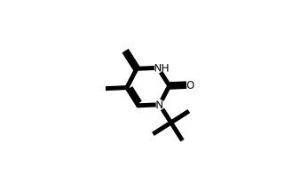 C=C1NC(=O)N(C(C)(C)C)C=C1C